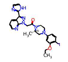 CCOc1cc(N2CCN(C(=O)Cn3nc(-c4ncc[nH]4)c4cccnc43)[C@@H](C)C2)ccc1I